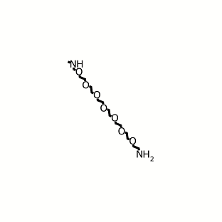 CNCOCCOCCOCCOCCOCCOCCOCCN